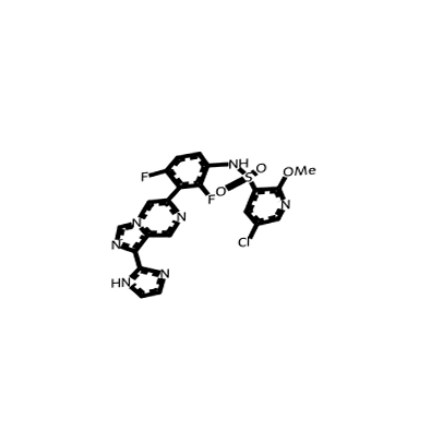 COc1ncc(Cl)cc1S(=O)(=O)Nc1ccc(F)c(-c2cn3cnc(-c4ncc[nH]4)c3cn2)c1F